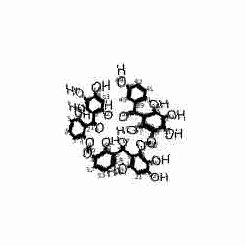 O=C(c1c(O)cccc1OOc1cccc(C(=O)c2c(O)cc(O)c(O)c2OOc2c(O)c(O)c(O)c(C(=O)c3cccc(O)c3)c2O)c1O)c1c(O)cc(O)c(O)c1O